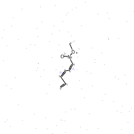 C=C/C=C\C=C/N(Cl)OC